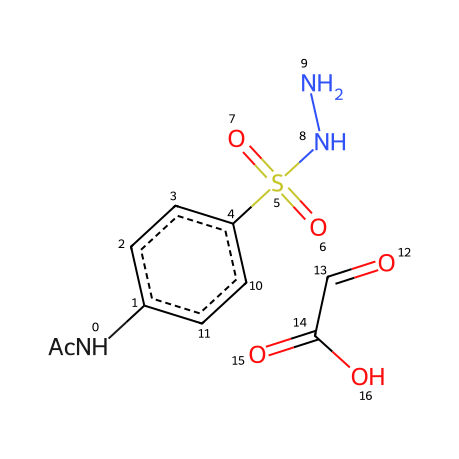 CC(=O)Nc1ccc(S(=O)(=O)NN)cc1.O=CC(=O)O